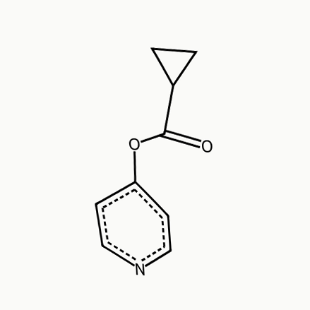 O=C(Oc1ccncc1)C1CC1